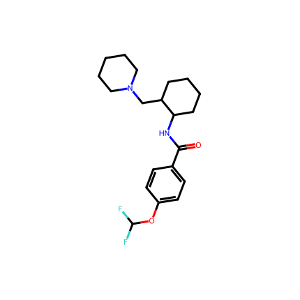 O=C(NC1CCCCC1CN1CCCCC1)c1ccc(OC(F)F)cc1